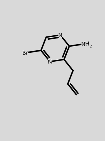 C=CCc1nc(Br)cnc1N